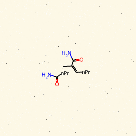 CCCC(N)=O.CCCC=C(C)C(N)=O